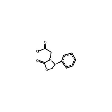 O=C(Cl)CN1C(=O)OC[C@@H]1c1ccccc1